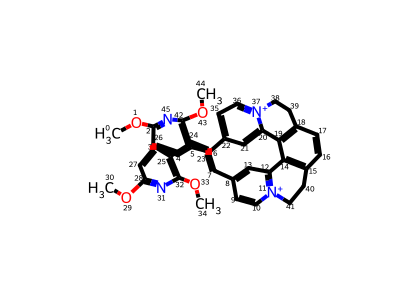 COc1ccc(/C=C/c2cc[n+]3c(c2)-c2c(ccc4c2-c2cc(/C=C/c5ccc(OC)nc5OC)cc[n+]2CC4)CC3)c(OC)n1